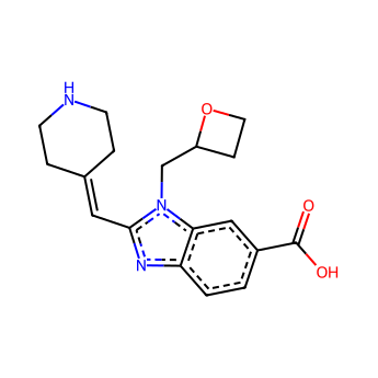 O=C(O)c1ccc2nc(C=C3CCNCC3)n(CC3CCO3)c2c1